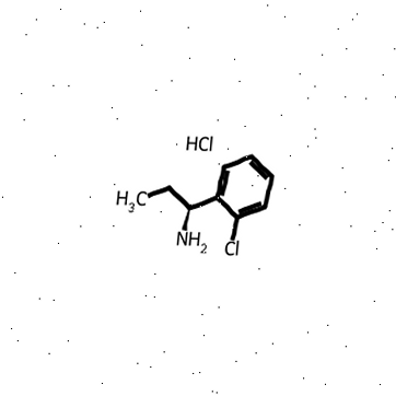 CC[C@H](N)c1ccccc1Cl.Cl